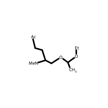 CCOC(C)OCC(CCC(C)=O)NC